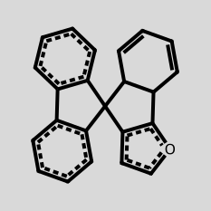 C1=CC2c3occc3C3(c4ccccc4-c4ccccc43)C2C=C1